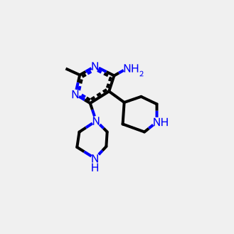 Cc1nc(N)c(C2CCNCC2)c(N2CCNCC2)n1